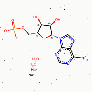 Nc1ncnc2c1ncn2[C@@H]1O[C@H](COP(=O)([O-])[O-])[C@@H](O)[C@H]1O.O.O.[Na+].[Na+]